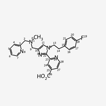 CN(Cc1ccccn1)Cc1cn(CCc2ccc(F)cc2)c(-c2cc(C(=O)O)ccn2)n1